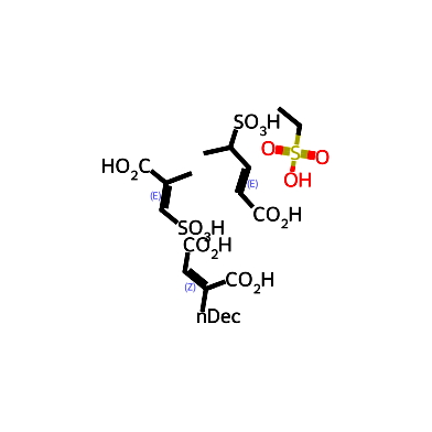 C/C(=C\S(=O)(=O)O)C(=O)O.CC(/C=C/C(=O)O)S(=O)(=O)O.CCCCCCCCCC/C(=C/C(=O)O)C(=O)O.CCS(=O)(=O)O